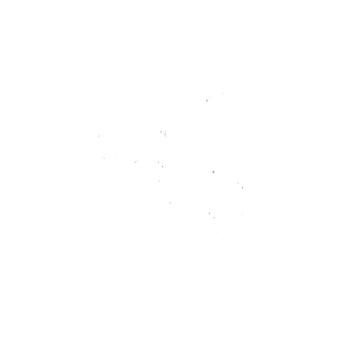 O=C([C@H](Cc1ccccc1)N(Cc1ccc(-c2ccccn2)cc1)C(=O)C=Cc1ccc(C(F)(F)F)nc1)N1CCC(c2ccccc2)CC1